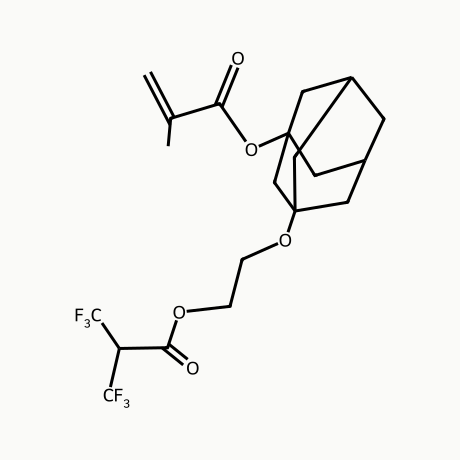 C=C(C)C(=O)OC12CC3CC(CC(OCCOC(=O)C(C(F)(F)F)C(F)(F)F)(C3)C1)C2